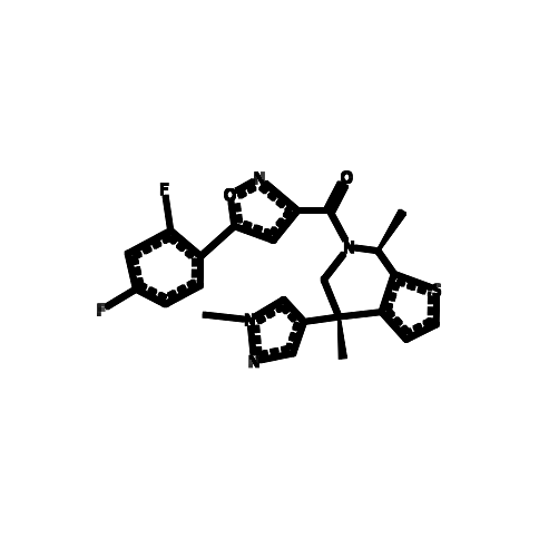 C[C@H]1c2sccc2[C@](C)(c2cnn(C)c2)CN1C(=O)c1cc(-c2ccc(F)cc2F)on1